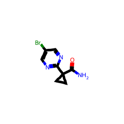 NC(=O)C1(c2ncc(Br)cn2)CC1